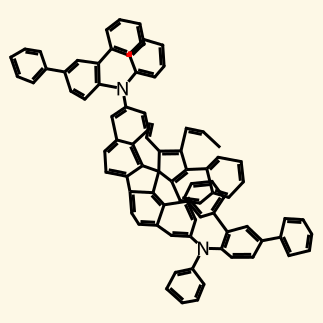 C=CC1=C(/C=C\C)c2c(ccc3ccccc23)C12c1c(ccc3cc(N(c4ccccc4)c4ccc(-c5ccccc5)cc4-c4ccccc4)ccc13)-c1ccc3cc(N(c4ccccc4)c4ccc(-c5ccccc5)cc4-c4ccccc4)ccc3c12